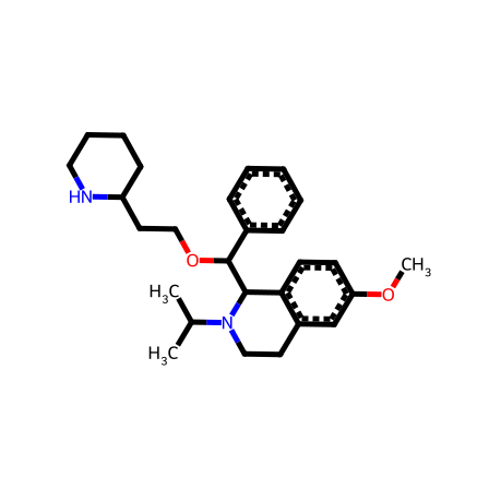 COc1ccc2c(c1)CCN(C(C)C)C2C(OCCC1CCCCN1)c1ccccc1